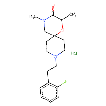 CC1OC2(CCN(CCc3ccccc3F)CC2)CN(C)C1=O.Cl